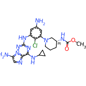 COC(=O)N[C@@H]1CCCN(c2cc(N)cc(Nc3nc(NC4CC4)c4ncc(N)n4n3)c2Cl)C1